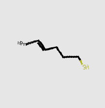 CCCC=CCCCS